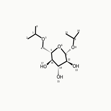 CC(C)OC[C@@H]1O[C@H](OC(C)C)[C@@H](O)[C@H](O)[C@H]1O